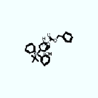 CC(C)(C)[Si](c1ccccc1)(c1ccccc1)C1C[C@@H]2C[C@H]1CN2C(=O)OCc1ccccc1